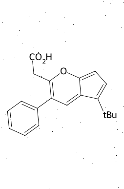 CC(C)(C)c1ccc2oc(CC(=O)O)c(-c3ccccc3)cc1-2